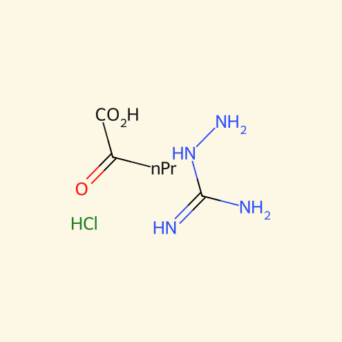 CCCC(=O)C(=O)O.Cl.N=C(N)NN